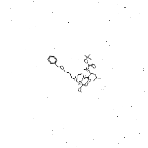 COC(=O)[C@H]1CN(CCCOCc2ccccc2)CCN1C(=O)C(CC(C)C)N(C)C(=O)OC(C)(C)C